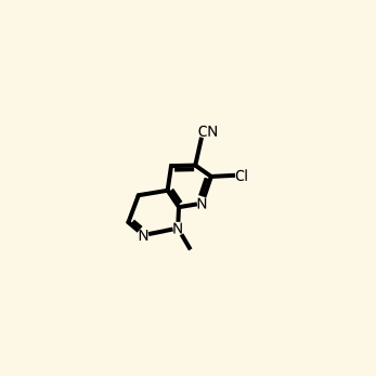 CN1N=CCc2cc(C#N)c(Cl)nc21